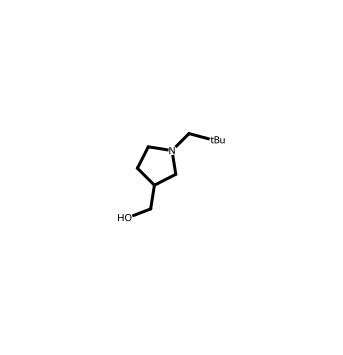 CC(C)(C)CN1CCC(CO)C1